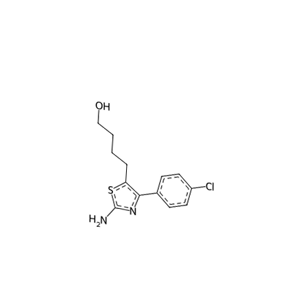 Nc1nc(-c2ccc(Cl)cc2)c(CCCCO)s1